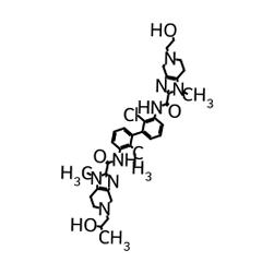 Cc1c(NC(=O)c2nc3c(n2C)CCN(CC(C)O)C3)cccc1-c1cccc(NC(=O)c2nc3c(n2C)CCN(CCO)C3)c1Cl